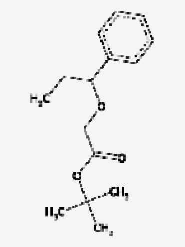 CCC(OCC(=O)OC(C)(C)C)c1ccccc1